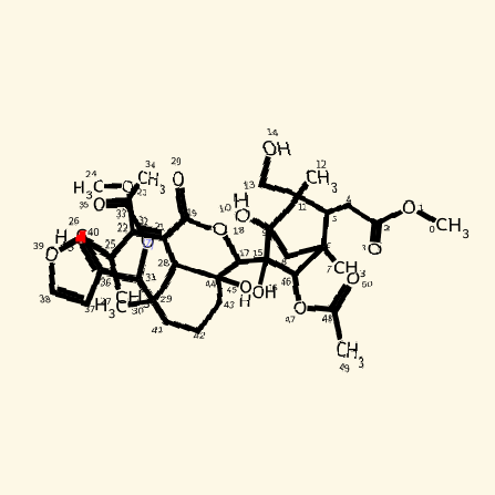 COC(=O)CC1C2(C)CC(O)(C1(C)CO)C(O)(C1OC(=O)/C(=C(\OC)C(C)C)C3C(C)(C(OC(C)=O)c4ccoc4)CCCC31O)C2OC(C)=O